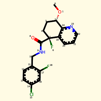 CO[C@H]1CC[C@@](F)(C(=O)NCc2ccc(Cl)cc2F)c2cccnc21